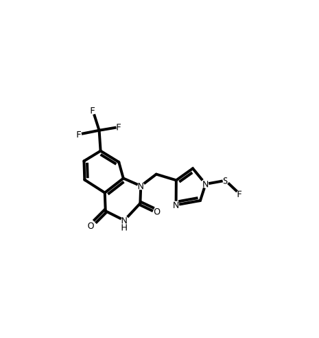 O=c1[nH]c(=O)n(Cc2cn(SF)cn2)c2cc(C(F)(F)F)ccc12